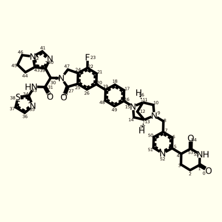 O=C1CCC(c2cc(CN3C[C@H]4C[C@@H]3CN4c3ccc(-c4cc(F)c5c(c4)C(=O)N(C(C(=O)Nc4nccs4)c4ncn6c4CCC6)C5)cc3)ccn2)C(=O)N1